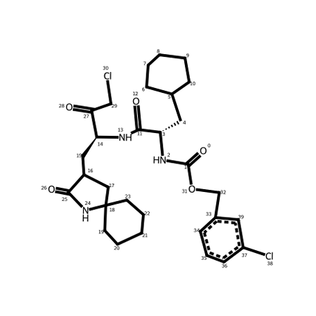 O=C(N[C@@H](CC1CCCCC1)C(=O)N[C@@H](CC1CC2(CCCCC2)NC1=O)C(=O)CCl)OCc1cccc(Cl)c1